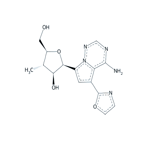 C[C@H]1[C@H](O)[C@H](c2cc(-c3ncco3)c3c(N)ncnn23)O[C@@H]1CO